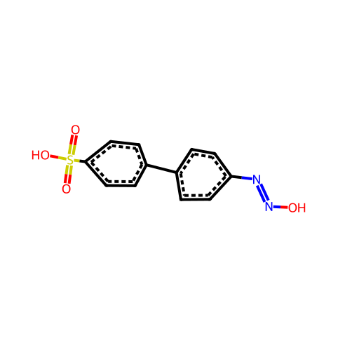 O=S(=O)(O)c1ccc(-c2ccc(N=NO)cc2)cc1